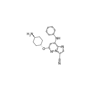 N#Cc1cnc2c(Nc3ccccc3)cc(O[C@H]3CC[C@H](N)CC3)nn12